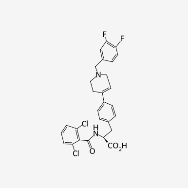 O=C(N[C@@H](Cc1ccc(C2=CCN(Cc3ccc(F)c(F)c3)CC2)cc1)C(=O)O)c1c(Cl)cccc1Cl